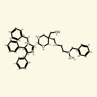 CN(CCOC[C@]1(CO)CO[C@@H](c2nc(-c3ccccc3)c(-c3ccccc3)n2Cc2ccccc2)OC1)Cc1ccccc1